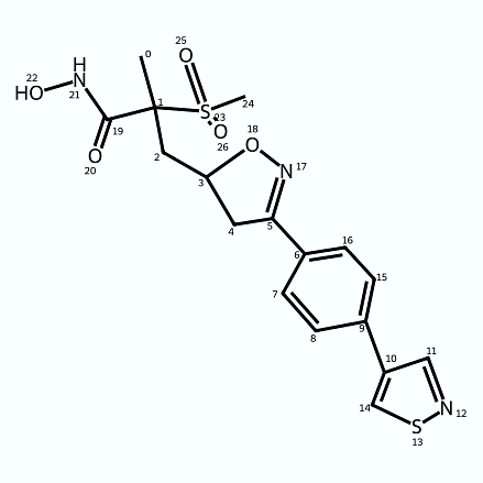 CC(CC1CC(c2ccc(-c3cnsc3)cc2)=NO1)(C(=O)NO)S(C)(=O)=O